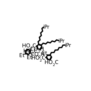 CC(C)CCCCCCCc1ccc(C(=O)O)c(C(=O)O)c1CCCCCCCC(C)C.CCc1c(CCCCCCCC(C)C)ccc(C(=O)O)c1C(=O)O.CCc1ccc(C(=O)O)c(C(=O)O)c1CC